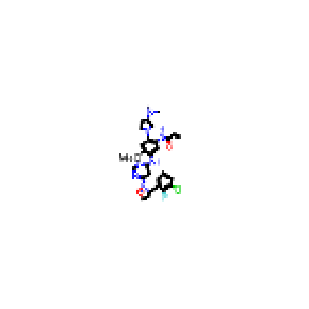 C=CC(=O)Nc1cc(Nc2cc(N3OCCC3c3cccc(Cl)c3F)ncn2)c(OC)cc1N1CCC(N(C)C)C1